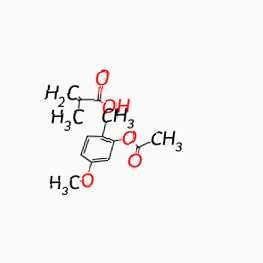 C=C(C)C(=O)O.COc1ccc(C)c(OC(C)=O)c1